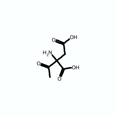 CC(=O)C(N)(CC(=O)O)C(=O)O